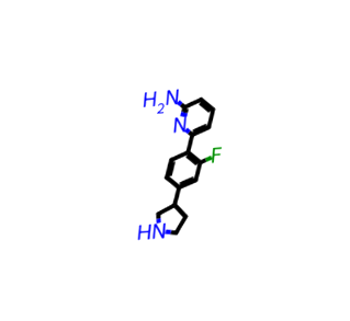 Nc1cccc(-c2ccc(C3CCNC3)cc2F)n1